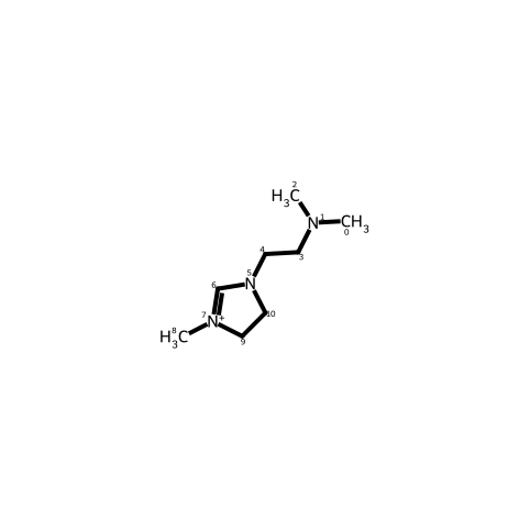 CN(C)CCN1C=[N+](C)CC1